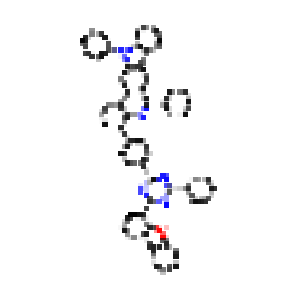 c1ccc(-c2nc(-c3ccc(-c4cccc5c4nc(-c4ccccc4)c4cc6c7ccccc7n(-c7ccccc7)c6cc45)cc3)nc(-c3cccc4c3oc3ccccc34)n2)cc1